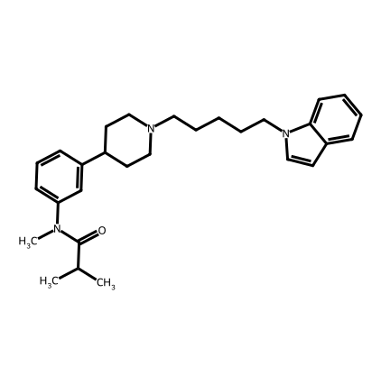 CC(C)C(=O)N(C)c1cccc(C2CCN(CCCCCn3ccc4ccccc43)CC2)c1